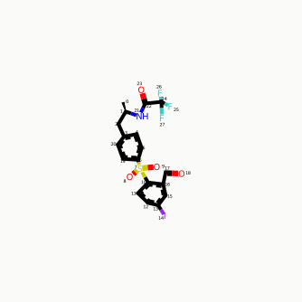 C[C@H](Cc1ccc(S(=O)(=O)c2ccc(I)cc2C=O)cc1)NC(=O)C(F)(F)F